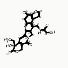 CC[C@@]1(O)C(=O)OCc2c1cc1n(c2=O)Cc2c-1nc1cc(Cl)c3occc3c1c2CNC(=O)CO